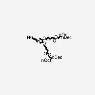 CCCCCCCCCCC(CCCCCCCC)COC(=O)CCCCO[C@H]1CN(CCCO)C[C@H]1OCCCCC(=O)OCC(CCCCCCCC)CCCCCCCCCC